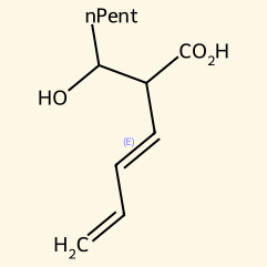 C=C/C=C/C(C(=O)O)C(O)CCCCC